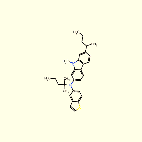 CCCC(C)c1ccc2c3ccc(N(c4ccc5sccc5c4)C(C)(C)CCC)cc3n(C)c2c1